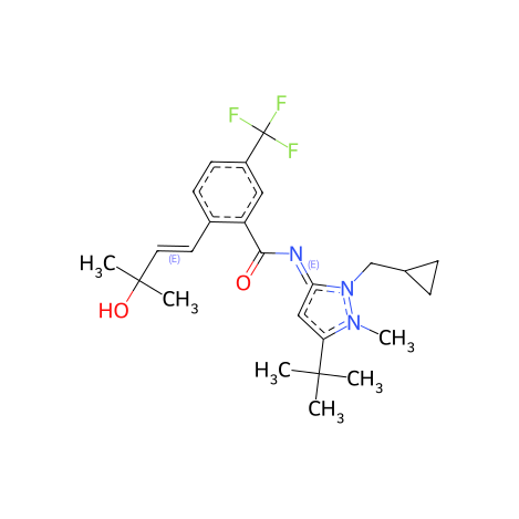 Cn1c(C(C)(C)C)c/c(=N\C(=O)c2cc(C(F)(F)F)ccc2/C=C/C(C)(C)O)n1CC1CC1